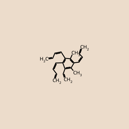 C=C/C=C\c1c(C)c(C=C)c(/C=C\C=C)c(/C=C\C=C)c1C